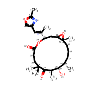 C/C(=C\c1coc(C)n1)[C@@H]1CC2O[C@]2(C)CCC[C@H](C)[C@H](O)[C@@H](C)C(=O)C(C)(C)CCC(=O)O1